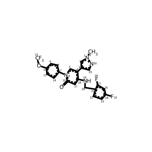 Cn1cc(-c2cn(-c3ccc(OC(F)(F)F)cc3)c(=O)cc2NCc2ccc(F)cc2F)cn1